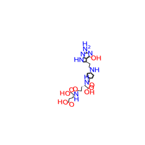 Nc1nc(O)c2c(CCNc3ccc(C(=O)N[C@@H](CCC(=O)N[C@@H](CCC(=O)O)C(=O)O)C(=O)O)cc3)c[nH]c2n1